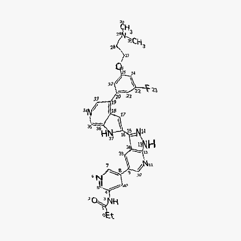 CCC(=O)Nc1cncc(-c2cnc3[nH]nc(-c4cc5c(-c6cc(F)cc(OCCN(C)C)c6)cncc5[nH]4)c3c2)c1